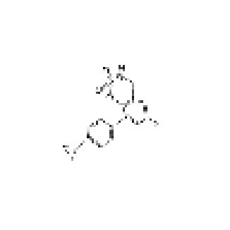 O=S1(=O)NCc2cc(F)cc(-c3ccc(C4CC4)cc3)c2O1